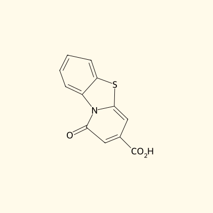 O=C(O)c1cc(=O)n2c(c1)sc1ccccc12